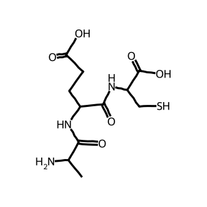 CC(N)C(=O)NC(CCC(=O)O)C(=O)NC(CS)C(=O)O